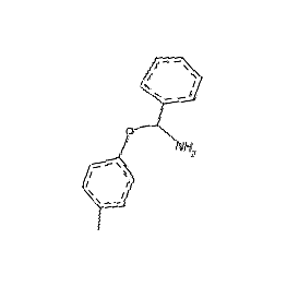 Cc1ccc(OC(N)c2ccccc2)cc1